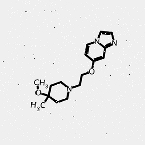 COC1(C)CCN(CCOc2ccn3ccnc3c2)CC1